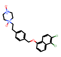 [O-][NH+]1CC[N+]([O-])(CCc2ccc(COc3cccc4c(Cl)c(Cl)ccc34)cc2)CC1